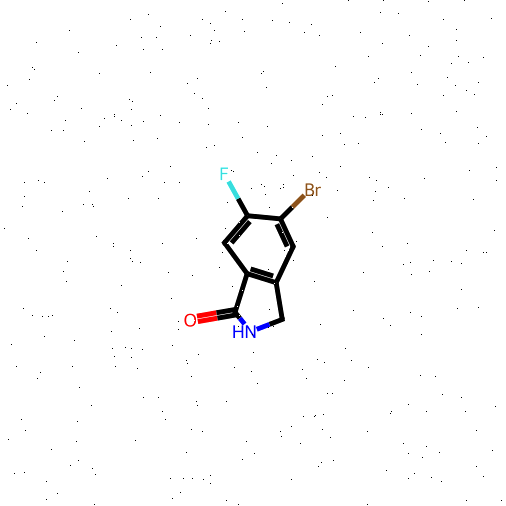 O=C1NCc2cc(Br)c(F)cc21